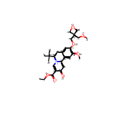 CCOC(=O)c1cn2c(cc1=O)-c1cc(OC)c(OCC3(COC)COC3)cc1CC2C(C)(C)C